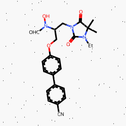 CCN1C(=O)N(CC(COc2ccc(-c3ccc(C#N)cc3)cc2)N(O)C=O)C(=O)C1(C)C